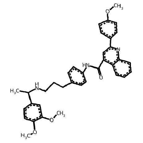 COc1ccc(-c2cc(C(=O)Nc3ccc(CCCNC(C)c4ccc(OC)c(OC)c4)cc3)c3ccccc3n2)cc1